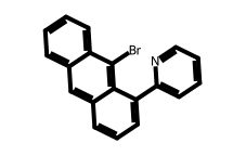 Brc1c2ccccc2cc2cccc(-c3ccccn3)c12